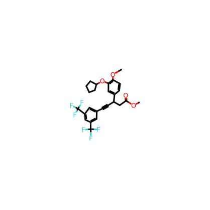 COC(=O)CC(C#Cc1cc(C(F)(F)F)cc(C(F)(F)F)c1)c1ccc(OC)c(OC2CCCC2)c1